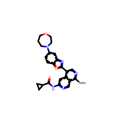 CNc1ncc(-c2nc3cc(N4CCCOCC4)ccc3o2)c2cc(NC(=O)C3CC3)ncc12